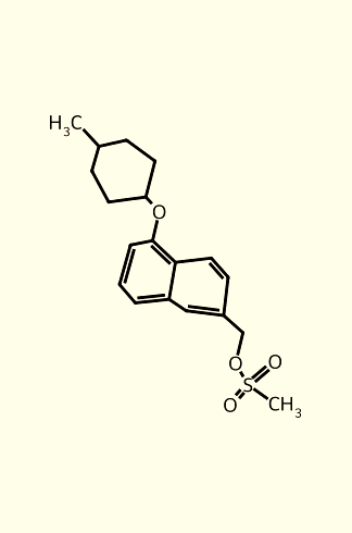 CC1CCC(Oc2cccc3cc(COS(C)(=O)=O)ccc23)CC1